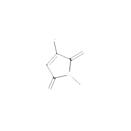 C=C1C(Br)=CC(=O)N1C